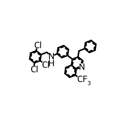 FC(F)(F)c1cccc2c(-c3cccc(NCc4c(Cl)ccc(Cl)c4Cl)c3)c(Cc3ccccc3)cnc12